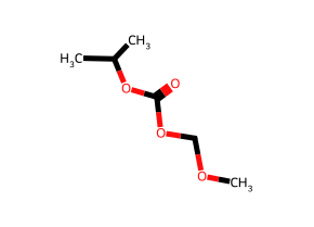 COCOC(=O)OC(C)C